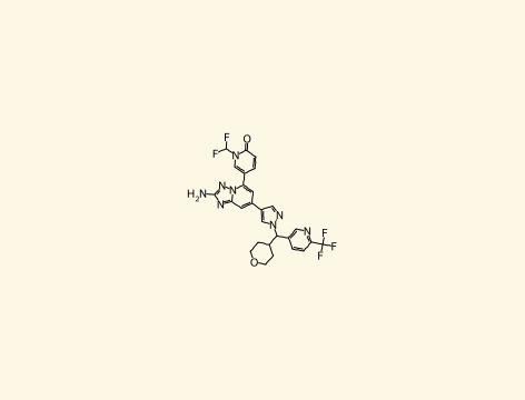 Nc1nc2cc(-c3cnn(C(c4ccc(C(F)(F)F)nc4)C4CCOCC4)c3)cc(-c3ccc(=O)n(C(F)F)c3)n2n1